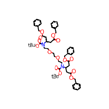 CC(C)(C)OC(=O)N(CCOCCOCCN(C(=O)OC(C)(C)C)C(CC(=O)OCc1ccccc1)CC(=O)OCc1ccccc1)C(CC(=O)OCc1ccccc1)CC(=O)OCc1ccccc1